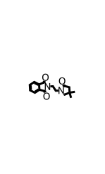 CC1(C)CC(=O)N(CCN2C(=O)c3ccccc3C2=O)C1